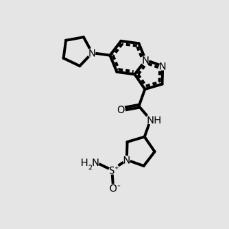 N[S+]([O-])N1CCC(NC(=O)c2cnn3ccc(N4CCCC4)cc23)C1